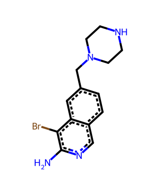 Nc1ncc2ccc(CN3CCNCC3)cc2c1Br